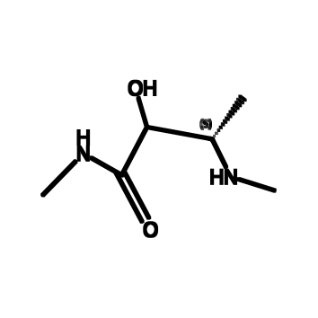 CNC(=O)C(O)[C@H](C)NC